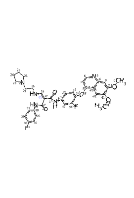 COc1cc2nccc(Oc3ccc(NC(=O)/C(=C/NCCN4CCCC4)C(=O)Nc4ccc(F)cc4)cc3F)c2cc1OC